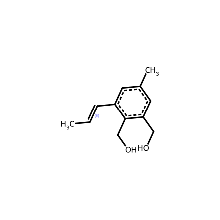 C/C=C/c1cc(C)cc(CO)c1CO